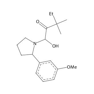 CCC(C)(C)C(=O)C(O)N1CCCC1c1cccc(OC)c1